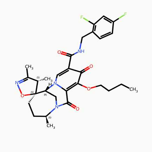 CCCCOc1c2n(cc(C(=O)NCc3ccc(F)cc3F)c1=O)[C@@H]1CN(C2=O)[C@@H](C)CC[C@@]12ON=C(C)[C@@H]2C